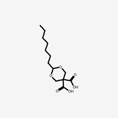 CCCCCCCC1OCC(C(=O)O)(C(=O)O)CO1